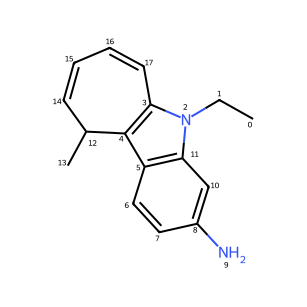 CCn1c2c(c3ccc(N)cc31)C(C)C=CC=C2